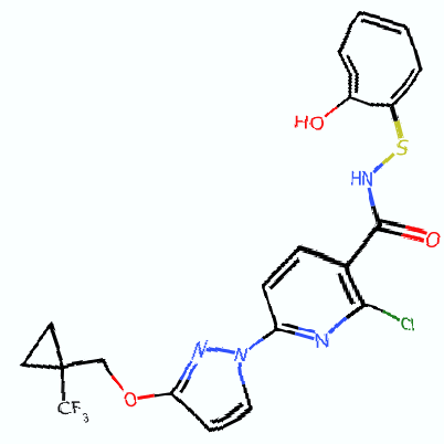 O=C(NSc1ccccc1O)c1ccc(-n2ccc(OCC3(C(F)(F)F)CC3)n2)nc1Cl